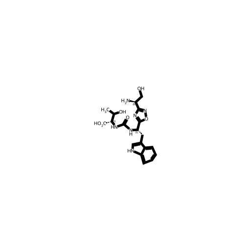 CC(O)[C@H](NC(=O)N[C@@H](Cc1c[nH]c2ccccc12)c1nc([C@@H](N)CO)no1)C(=O)O